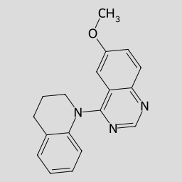 COc1ccc2ncnc(N3CCCc4ccccc43)c2c1